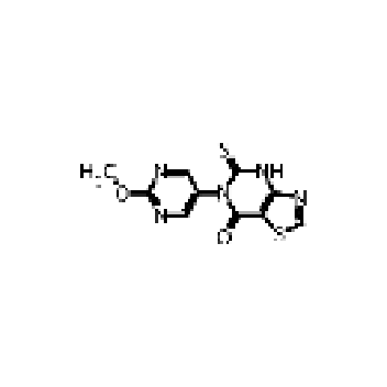 COc1ncc(-n2c(=S)[nH]c3ncsc3c2=O)cn1